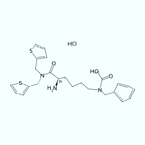 Cl.N[C@H](CCCCN(Cc1ccccc1)C(=O)O)C(=O)N(Cc1cccs1)Cc1cccs1